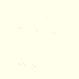 NC1CCN(c2c(-c3cc(F)cc(F)c3)cnc3ccc(-c4cc(Cl)c5[nH]c(=O)[nH]c5c4)cc23)CC1